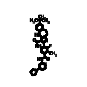 Cc1c(C(=O)Nc2cc(N3CCCC3)ccn2)ccc(-c2nn3c(c2C(N)=O)Nc2ccc(C(C)(C)C)cc2CC3)c1F